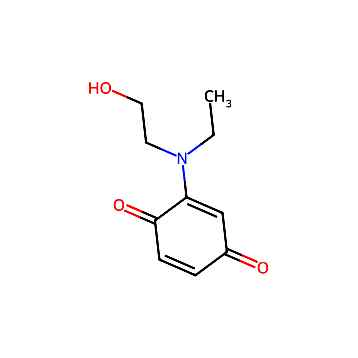 CCN(CCO)C1=CC(=O)C=CC1=O